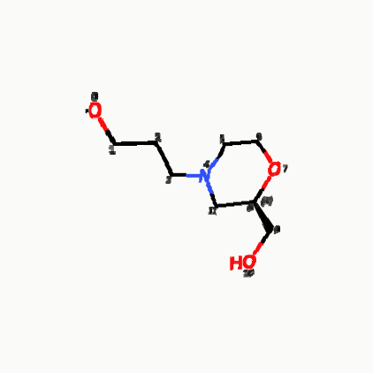 [O]CCCN1CCO[C@@H](CO)C1